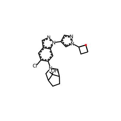 CC1(O)C2CCC1CN(c1cc3c(cnn3-c3cnn(C45CC(C4)C5)c3)cc1Cl)C2